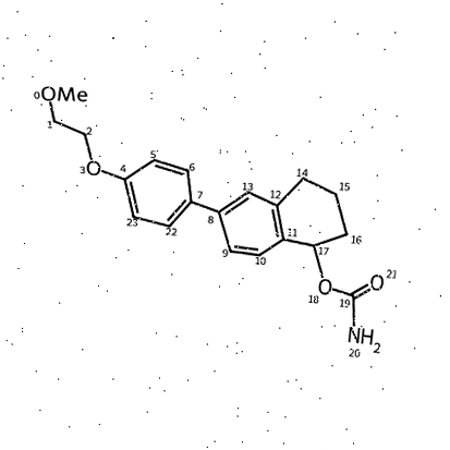 COCCOc1ccc(-c2ccc3c(c2)CCCC3OC(N)=O)cc1